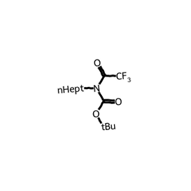 CCCCCCCN(C(=O)OC(C)(C)C)C(=O)C(F)(F)F